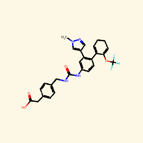 Cn1cc(-c2cc(NC(=O)NCc3ccc(CC(=O)O)cc3)ccc2C2=CCCC=C2OC(F)(F)F)cn1